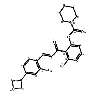 O=C(/C=C/c1ccc(C2COC2)cc1F)c1c(O)cccc1OC(=O)N1CCCCC1